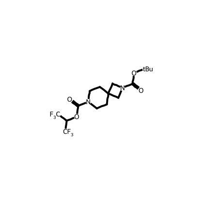 CC(C)(C)OC(=O)N1CC2(CCN(C(=O)OC(C(F)(F)F)C(F)(F)F)CC2)C1